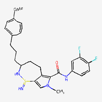 COc1ccc(CCCC2CCc3c(cn(C)c3C(=O)Nc3ccc(F)c(F)c3)S(=N)N2)cc1